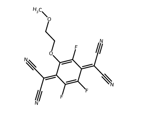 COCCOc1c(F)c(=C(C#N)C#N)c(F)c(F)c1=C(C#N)C#N